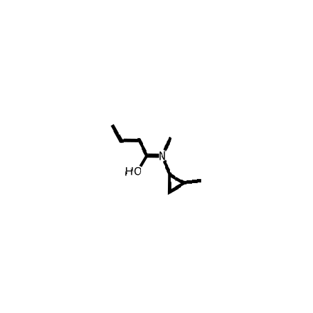 CCCC(O)N(C)C1CC1C